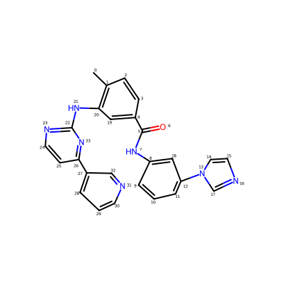 Cc1ccc(C(=O)Nc2cccc(-n3ccnc3)c2)cc1Nc1nccc(-c2cccnc2)n1